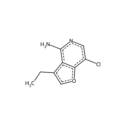 CCc1coc2c(Cl)cnc(N)c12